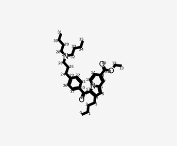 CCCCc1cc2cc(C(=O)OCC)ccn2c1C(=O)c1ccc(CCCN(CCCC)CCCC)cc1